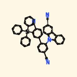 N#Cc1ccc(-c2ccc(C#N)c([Si](c3ccccc3)(c3ccccc3)c3ccccc3)c2)c(-n2c3ccccc3c3cc(C#N)ccc32)c1